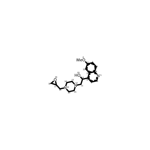 COc1ccc2nccc(C(O)CN3CCN(CC4CO4)CC3)c2c1